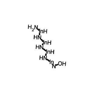 [NH2][InH][NH][InH][NH][InH][NH][In]=[N]O